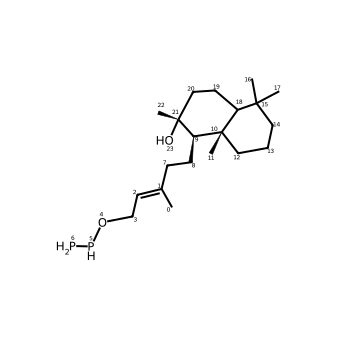 C/C(=C\COPP)CC[C@@H]1[C@@]2(C)CCCC(C)(C)C2CC[C@@]1(C)O